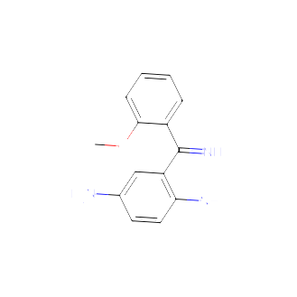 COc1ccccc1C(=N)c1cc(N)ccc1N